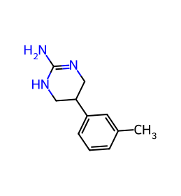 Cc1cccc(C2CN=C(N)NC2)c1